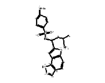 CC(=O)Nc1ccc(S(=O)(=O)NC(CC(C)N)c2cc3c(ccc4cn[nH]c43)o2)cc1